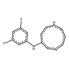 Fc1cc(F)cc(Nc2cc[nH]cccnc2)c1